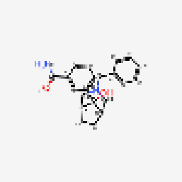 NC(=O)c1cccc(C2(O)C3CCC2CN(Cc2ccccc2)C3)c1